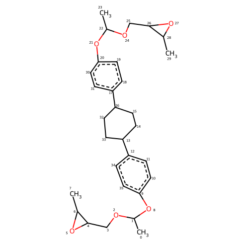 CC(OCC1OC1C)Oc1ccc(C2CCC(c3ccc(OC(C)OCC4OC4C)cc3)CC2)cc1